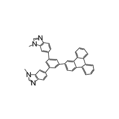 Cn1cnc2ccc(-c3cc(-c4ccc5c6ccccc6c6ccccc6c5c4)cc(-c4ccc5ncn(C)c5c4)c3)cc21